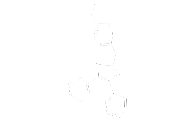 NCc1ccc(Cc2nc(-c3ccccc3)c(-c3ccncc3)[nH]2)cc1